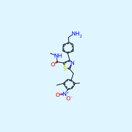 CNC(=O)c1sc(Cc2cc(C)c([N+](=O)[O-])cc2C)nc1-c1ccc(CN)cc1